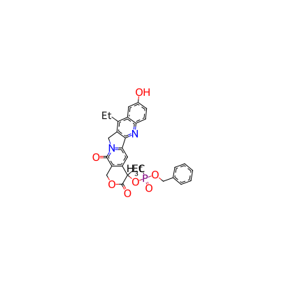 CCc1c2c(nc3ccc(O)cc13)-c1cc3c(c(=O)n1C2)COC(=O)C3(CC)OP(C)(=O)OCc1ccccc1